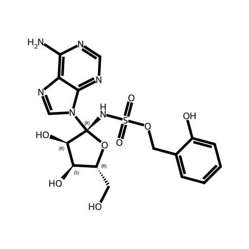 Nc1ncnc2c1ncn2[C@]1(NS(=O)(=O)OCc2ccccc2O)O[C@H](CO)[C@@H](O)[C@H]1O